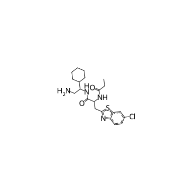 CCC(=O)NC(Cc1nc2ccc(Cl)cc2s1)C(=O)NC(CN)C1CCCCC1